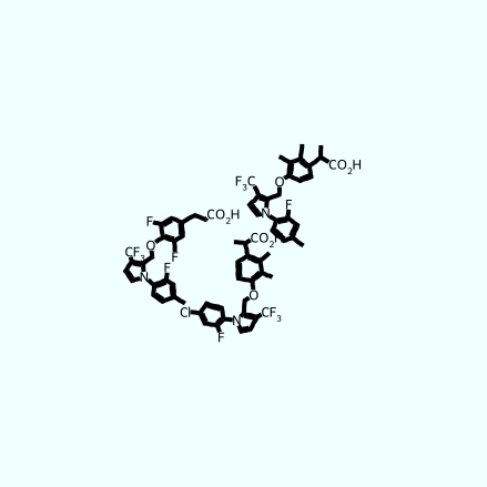 Cc1c(OCc2c(C(F)(F)F)ccn2-c2ccc(Cl)cc2F)ccc(C(C)C(=O)O)c1C.Cc1ccc(-n2ccc(C(F)(F)F)c2COc2c(F)cc(CCC(=O)O)cc2F)c(F)c1.Cc1ccc(-n2ccc(C(F)(F)F)c2COc2ccc(C(C)C(=O)O)c(C)c2C)c(F)c1